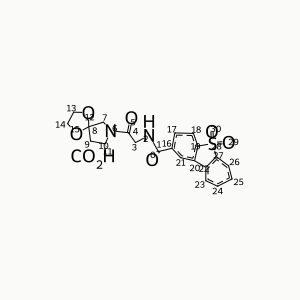 O=C(NCC(=O)N1CC2(C[C@H]1C(=O)O)OCCO2)c1ccc2c(c1)-c1ccccc1S2(=O)=O